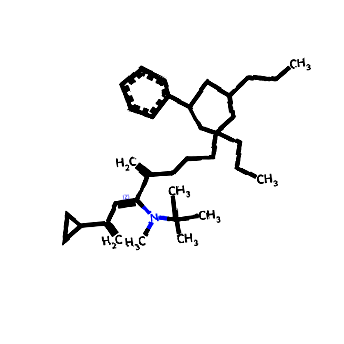 C=C(CCCC1(CCC)CC(CCC)CC(c2ccccc2)C1)/C(=C/C(=C)C1CC1)N(C)C(C)(C)C